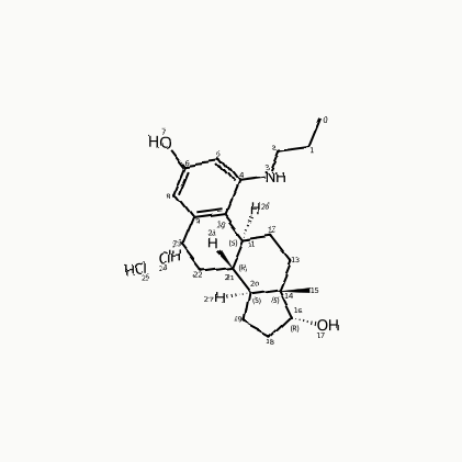 CCCNc1cc(O)cc2c1[C@H]1CC[C@]3(C)[C@H](O)CC[C@H]3[C@@H]1CC2.Cl.Cl